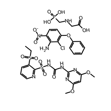 CCS(=O)(=O)c1cccnc1S(=O)(=O)NC(=O)Nc1nc(OC)cc(OC)n1.Nc1c([N+](=O)[O-])ccc(Oc2ccccc2)c1Cl.O=C(O)CNCP(=O)(O)O